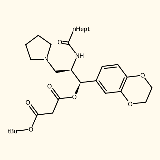 CCCCCCCC(=O)N[C@H](CN1CCCC1)[C@H](OC(=O)CC(=O)OC(C)(C)C)c1ccc2c(c1)OCCO2